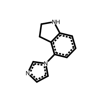 c1cc2c(c(-n3ccnc3)c1)CCN2